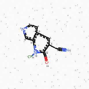 N#Cc1cc2ccncc2n(Cl)c1=O